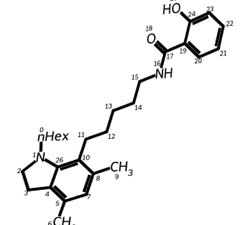 CCCCCCN1CCc2c(C)cc(C)c(CCCCCNC(=O)c3ccccc3O)c21